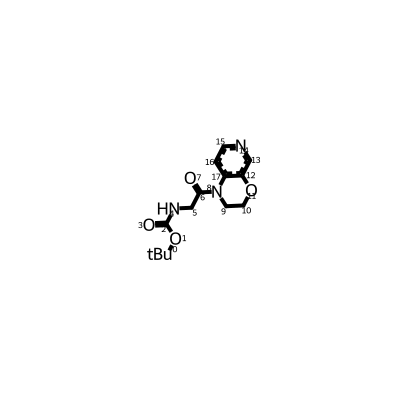 CC(C)(C)OC(=O)NCC(=O)N1CCOc2cnccc21